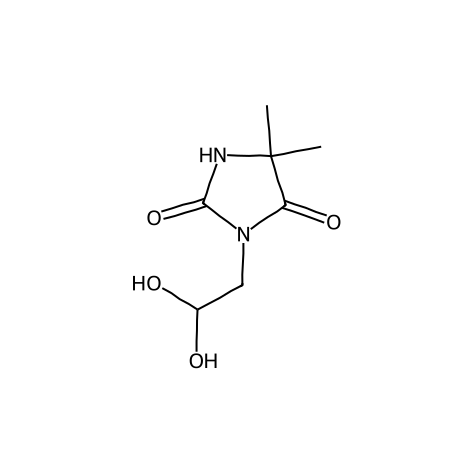 CC1(C)NC(=O)N(CC(O)O)C1=O